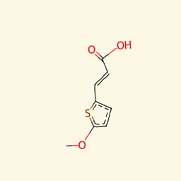 COc1ccc(C=CC(=O)O)s1